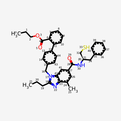 CCCOC(=O)c1ccccc1-c1ccc(Cn2c(CCC)nc3c(C)cc(C(=O)N[C@@H](CS)Cc4ccccc4)cc32)cc1